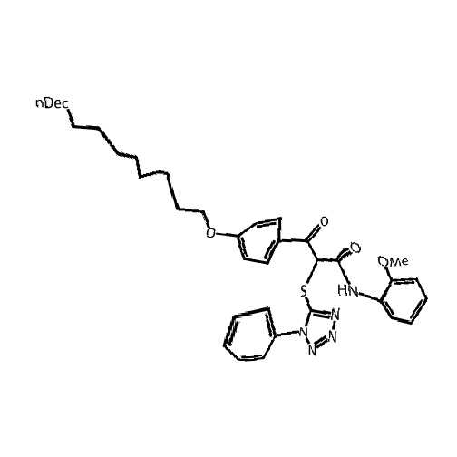 CCCCCCCCCCCCCCCCCCOc1ccc(C(=O)C(Sc2nnnn2-c2ccccc2)C(=O)Nc2ccccc2OC)cc1